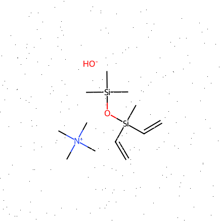 C=C[Si](C)(C=C)O[Si](C)(C)C.C[N+](C)(C)C.[OH-]